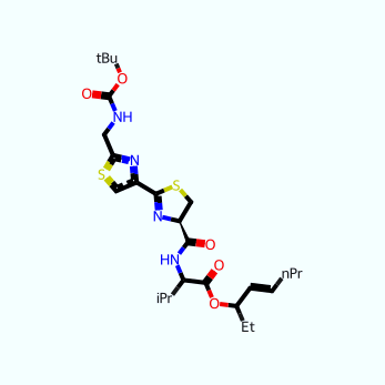 CCC/C=C/C(CC)OC(=O)C(NC(=O)[C@@H]1CSC(c2csc(CNC(=O)OC(C)(C)C)n2)=N1)C(C)C